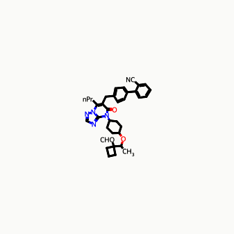 CCCc1c(Cc2ccc(-c3ccccc3C#N)cc2)c(=O)n(C2CCC(OC(C)C3(C=O)CCC3)CC2)c2ncnn12